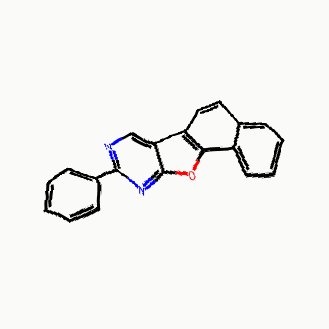 c1ccc(-c2ncc3c(n2)oc2c4ccccc4ccc32)cc1